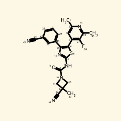 Cc1cc(-c2sc(NC(=O)N3CC(C)(C#N)C3)nc2-c2cccc(C#N)c2)c(F)c(C)n1